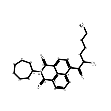 CCCCCC(C)C(=O)c1ccc2c3c(cccc13)C(=O)N(C1CCCCCC1)C2=O